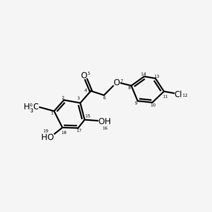 Cc1cc(C(=O)COc2ccc(Cl)cc2)c(O)cc1O